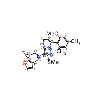 COc1cc(C)cc(C)c1-c1cccc2c(N(Cc3ccoc3)CC3CC3)c(SC)nn12